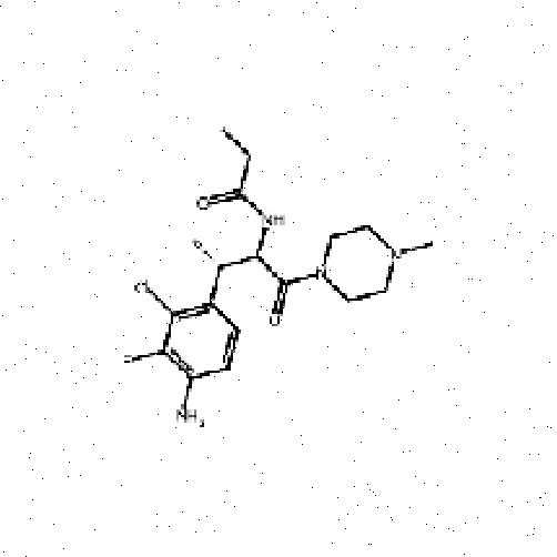 CCC(=O)N[C@@H](C(=O)N1CCN(C)CC1)[C@@H](C)c1ccc(N)c(F)c1Cl